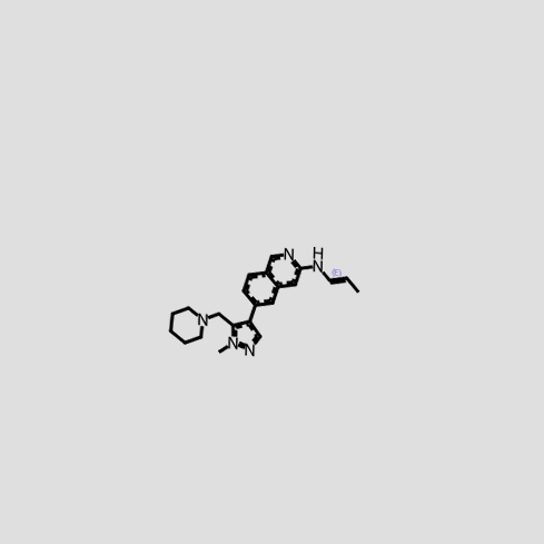 C/C=C/Nc1cc2cc(-c3cnn(C)c3CN3CCCCC3)ccc2cn1